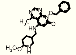 COC1CCC(CNc2cc(=O)n(OCc3ccccc3)c3ncnc(C)c23)CN1